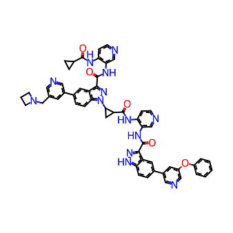 O=C(Nc1cnccc1NC(=O)C1CC1n1nc(C(=O)Nc2cnccc2NC(=O)C2CC2)c2cc(-c3cncc(CN4CCC4)c3)ccc21)c1n[nH]c2ccc(-c3cncc(Oc4ccccc4)c3)cc12